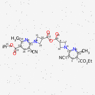 CCOC(=O)c1cc(C#N)c(N2CC(C(=O)OC(=O)C3CN(c4nc(C)c(C(=O)OC(C)C)cc4C#N)C3)C2)nc1C